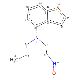 CCCN(CCN=O)c1cccc2sccc12